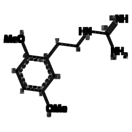 COc1ccc(OC)c(CCNC(=N)N)c1